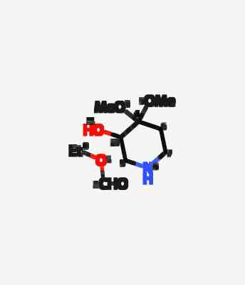 CCOC=O.COC1(OC)CCNCC1O